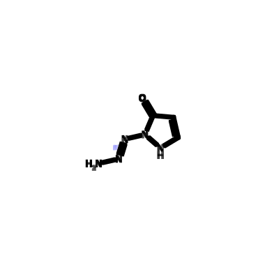 N/N=N/n1[nH]ccc1=O